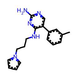 Cc1cccc(-c2cnc(N)nc2NCCCn2cccc2)c1